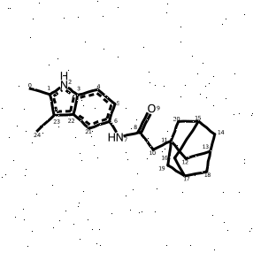 Cc1[nH]c2ccc(NC(=O)CC34CC5CC(CC(C5)C3)C4)cc2c1C